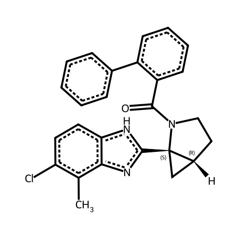 Cc1c(Cl)ccc2[nH]c([C@]34C[C@H]3CCN4C(=O)c3ccccc3-c3ccccc3)nc12